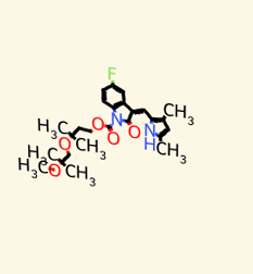 COC(C)(C)COC(C)(C)CCOC(=O)N1C(=O)/C(=C\c2[nH]c(C)cc2C)c2cc(F)ccc21